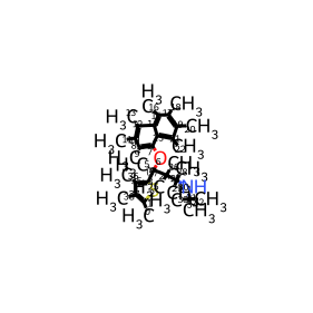 Cc1sc([C@@](C)(Oc2c(C)c(C)c(C)c3c(C)c(C)c(C)c(C)c23)C(C)(C)C(C)(C)NC(C)(C)C)c(C)c1C